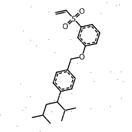 C=CS(=O)(=O)c1cccc(OCc2ccc(C(CC(C)C)C(C)C)cc2)c1